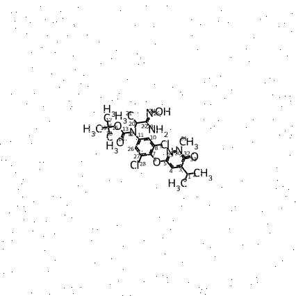 CC(C)c1cc(Oc2c(Cl)cc(N(C(=O)OC(C)(C)C)C(C)/C(N)=N/O)cc2Cl)nn(C)c1=O